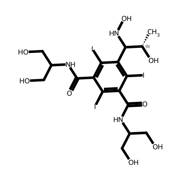 C[C@H](O)C(NO)c1c(I)c(C(=O)NC(CO)CO)c(I)c(C(=O)NC(CO)CO)c1I